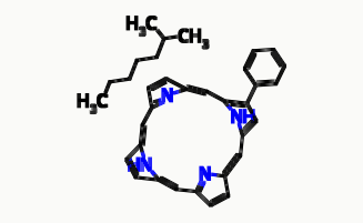 C1=Cc2cc3cc(-c4ccccc4)c(cc4nc(cc5ccc(cc1n2)[nH]5)C=C4)[nH]3.CCCCCC(C)C